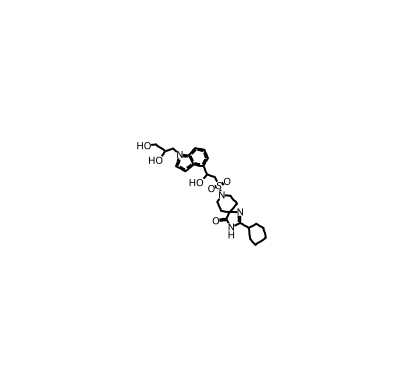 O=C1NC(C2CCCCC2)=NC12CCN(S(=O)(=O)CC(O)c1cccc3c1ccn3CC(O)CO)CC2